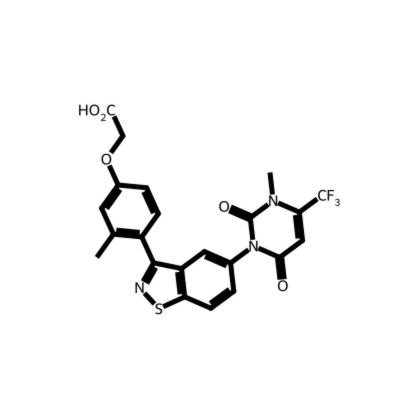 Cc1cc(OCC(=O)O)ccc1-c1nsc2ccc(-n3c(=O)cc(C(F)(F)F)n(C)c3=O)cc12